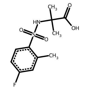 Cc1cc(F)ccc1S(=O)(=O)NC(C)(C)C(=O)O